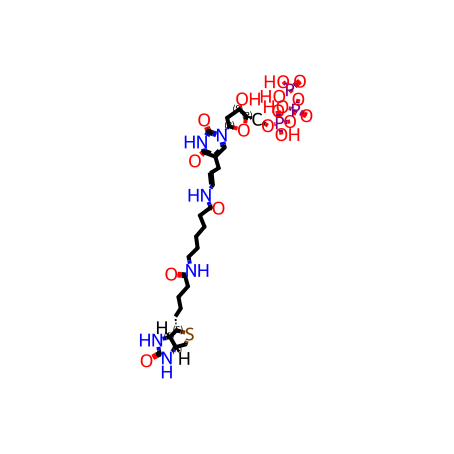 O=C(CCCCCNC(=O)CCCC[C@@H]1SC[C@@H]2NC(=O)N[C@@H]21)NC=CCc1cn([C@H]2C[C@H](O)[C@@H](COP(=O)(O)OP(=O)(O)OP(=O)(O)O)O2)c(=O)[nH]c1=O